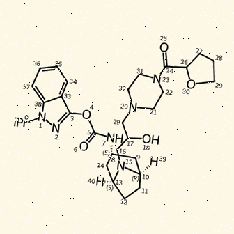 CC(C)n1nc(OC(=O)N[C@@H]2C[C@H]3CC[C@@H](C2)N3CC(O)CN2CCN(C(=O)C3CCCO3)CC2)c2ccccc21